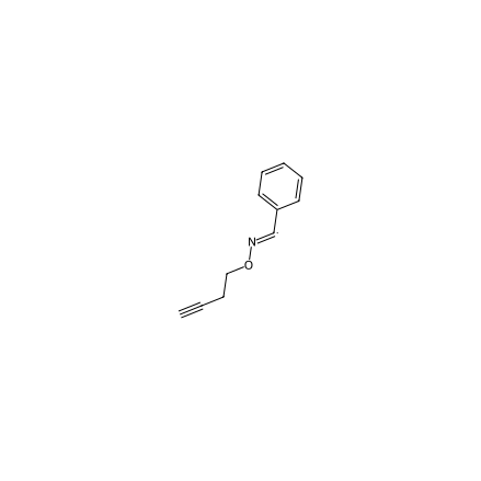 C#CCCON=[C]c1ccccc1